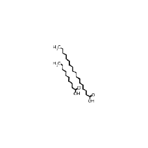 CCCCCCCCCC(=O)O.CCCCCCCCCCCCCCCCCC(=O)O